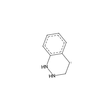 [C]1CNNc2ccccc21